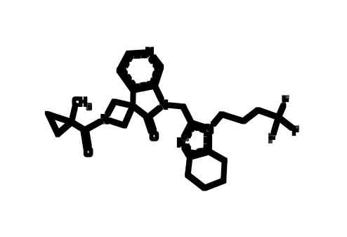 CC1(C(=O)N2CC3(C2)C(=O)N(Cc2nc4c(n2CCCC(F)(F)F)CCCC4)c2cnccc23)CC1